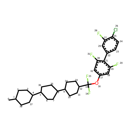 CC1CCC(C2CCC(C3CCC(C(F)(F)Oc4cc(F)c(-c5ccc(Cl)c(F)c5)c(F)c4)CC3)CC2)CC1